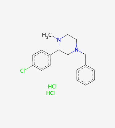 CN1CCN(Cc2ccccc2)CC1c1ccc(Cl)cc1.Cl.Cl